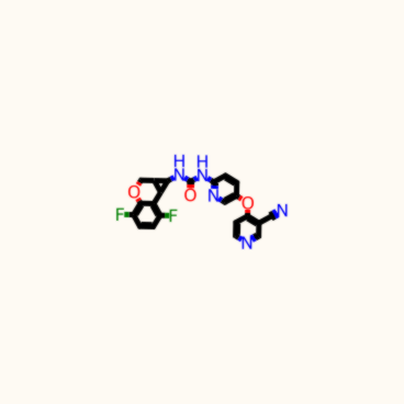 N#Cc1cnccc1Oc1ccc(NC(=O)NC2C3COc4c(F)ccc(F)c4C32)nc1